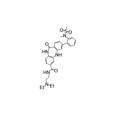 CCN(CC)CCNC(=O)c1ccc2c(c1)Nc1cc(-c3ccccc3N(C)S(C)(=O)=O)ccc1C(=O)N2